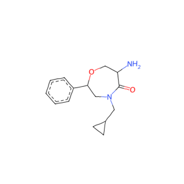 NC1COC(c2ccccc2)CN(CC2CC2)C1=O